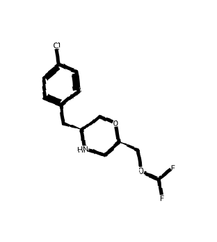 FC(F)OC[C@H]1CN[C@@H](Cc2ccc(Cl)cc2)CO1